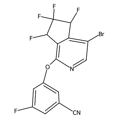 N#Cc1cc(F)cc(Oc2ncc(Br)c3c2C(F)C(F)(F)C3F)c1